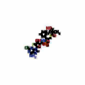 CC(C)(CO)C(=O)SCCOP(=O)(NCc1ccccc1)OC[C@H]1O[C@@H](n2cnc3c(N)nc(Cl)nc32)C(F)[C@H]1O